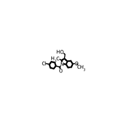 COc1ccc2c(c1)c(CO)c(C)n2C(=O)c1ccc(Cl)cc1